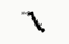 COC(=O)c1cccc(OCC2CCN(c3ccc(NC(=O)c4sc5ccc(-c6ccccc6)cc5c4C)cn3)CC2)c1